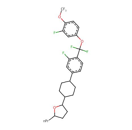 CCCC1CCC(C2CCC(c3ccc(C(F)(F)Oc4ccc(OC(F)(F)F)c(F)c4)c(F)c3)CC2)O1